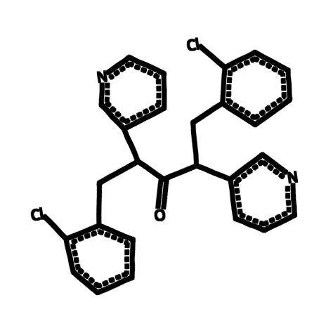 O=C(C(Cc1ccccc1Cl)c1cccnc1)C(Cc1ccccc1Cl)c1cccnc1